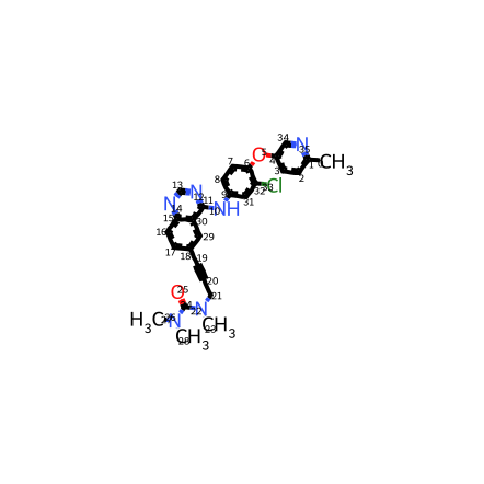 Cc1ccc(Oc2ccc(Nc3ncnc4ccc(C#CCN(C)C(=O)N(C)C)cc34)cc2Cl)cn1